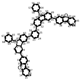 C1=CC2C(C=C1c1ccc3c(c1)oc1ccncc13)c1cc(-c3cccc(-c4ccc5c(c4)c4cc(-c6ccc7c(c6)oc6ccncc67)ccc4n5-c4ccccc4)c3)ccc1N2c1ccccc1